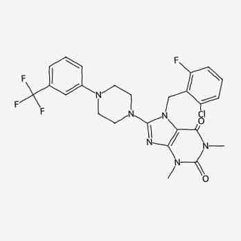 Cn1c(=O)c2c(nc(N3CCN(c4cccc(C(F)(F)F)c4)CC3)n2Cc2c(F)cccc2Cl)n(C)c1=O